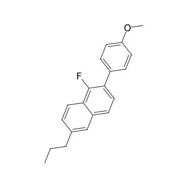 CCCc1ccc2c(F)c(-c3ccc(OC)cc3)ccc2c1